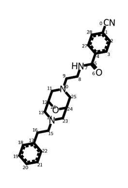 N#Cc1ccc(C(=O)NCCN2CC3CN(CCc4cc[c]cc4)CC(C2)O3)cc1